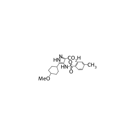 COC1CCC(c2[nH]nc(C(=O)O)c2NS(=O)(=O)c2ccc(C)cc2)CC1